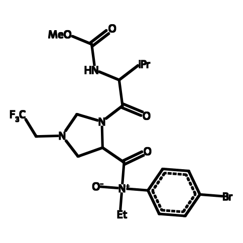 CC[N+]([O-])(C(=O)C1CN(CC(F)(F)F)CN1C(=O)C(NC(=O)OC)C(C)C)c1ccc(Br)cc1